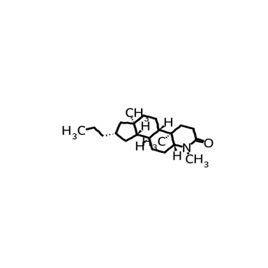 CCC[C@H]1C[C@H]2[C@@H]3CC[C@H]4N(C)C(=O)CC[C@]4(C)[C@H]3CC[C@]2(C)C1